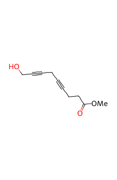 COC(=O)CCC#CCC#CCO